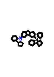 c1ccc([Si](c2ccccc2)(c2ccccc2)c2ccc3c(c2)-c2cc(N4c5ccccc5C5CCCC54)ccc2C3)cc1